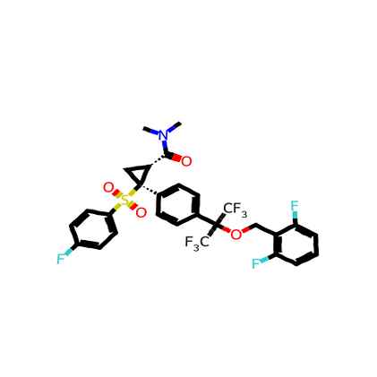 CN(C)C(=O)[C@H]1C[C@]1(c1ccc(C(OCc2c(F)cccc2F)(C(F)(F)F)C(F)(F)F)cc1)S(=O)(=O)c1ccc(F)cc1